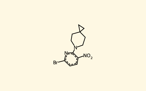 O=[N+]([O-])c1ccc(Br)nc1N1CCC2(CC1)CC2